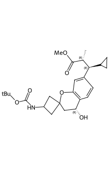 COC(=O)[C@H](C)[C@H](c1ccc2c(c1)OC1(CC(NC(=O)OC(C)(C)C)C1)C[C@H]2O)C1CC1